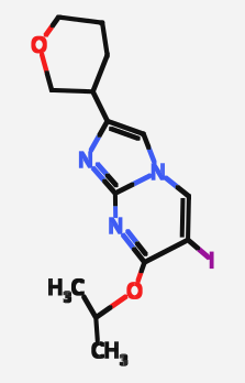 CC(C)Oc1nc2nc(C3CCCOC3)cn2cc1I